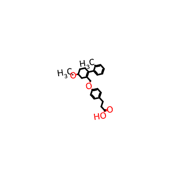 COC1CCC(c2ccccc2C)=C(COc2ccc(CCC(=O)O)cc2)C1